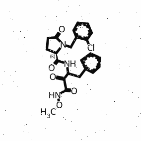 CONC(=O)C(=O)C(Cc1ccccc1)NC(=O)[C@H]1CCC(=O)N1Cc1ccccc1Cl